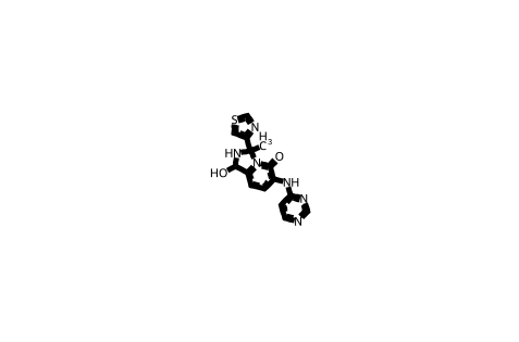 CC1(c2cscn2)NC(O)c2ccc(Nc3ccncn3)c(=O)n21